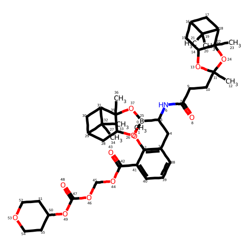 COc1c(CC(NC(=O)CCC2(C)OC3CC4CC(C4(C)C)C3(C)O2)B2OC3CC4CC(C4(C)C)C3(C)O2)cccc1C(=O)OCOC(=O)OC1CCOCC1